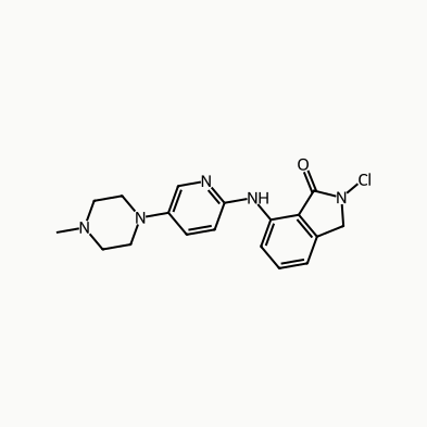 CN1CCN(c2ccc(Nc3cccc4c3C(=O)N(Cl)C4)nc2)CC1